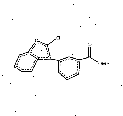 COC(=O)c1cccc(-c2c(Cl)oc3ccccc23)c1